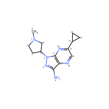 CN1CCC(n2nc(N)c3ncc(C4CC4)nc32)C1